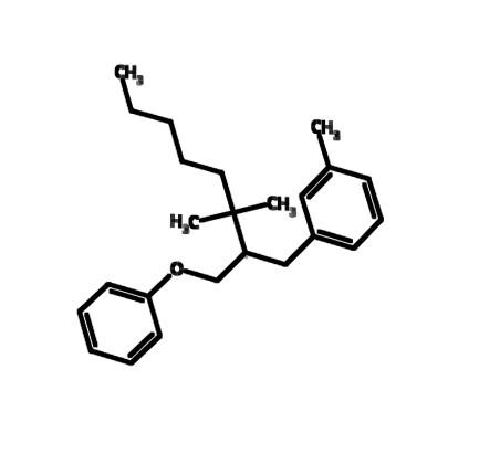 CCCCCC(C)(C)[C](COc1ccccc1)Cc1cccc(C)c1